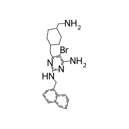 NCC1CCC(Cc2nc(NCc3cccc4ccccc34)nc(N)c2Br)CC1